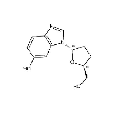 OC[C@@H]1CC[C@@H](n2cnc3ccc(O)cc32)O1